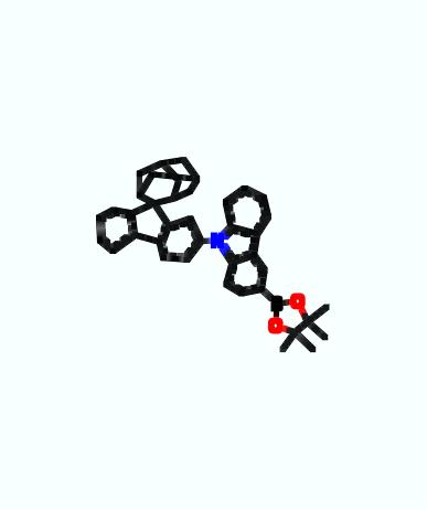 CC1(C)OB(c2ccc3c(c2)c2ccccc2n3-c2ccc3c(c2)C2(c4ccccc4-3)C3CC4CC(C3)CC2C4)OC1(C)C